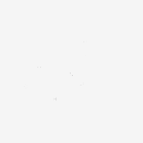 CCn1c(C(=O)c2ccccc2)cc2c1C(C)C(=O)O2